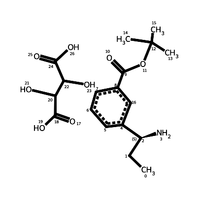 CC[C@H](N)c1cccc(C(=O)OC(C)(C)C)c1.O=C(O)C(O)C(O)C(=O)O